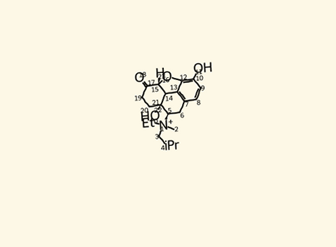 CC[N+](C)(CC(C)C)[C@@H]1Cc2ccc(O)c3c2C2[C@@H](O3)C(=O)CC[C@]21O